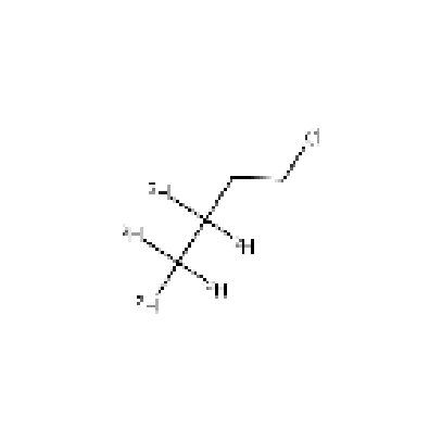 [2H]C([2H])([2H])C([2H])([2H])CCCl